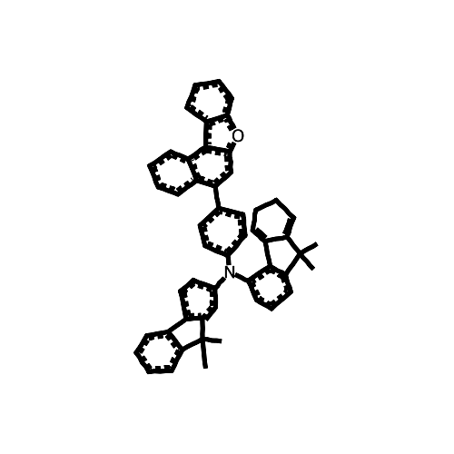 CC1(C)C2=CCCC=C2c2c(N(c3ccc(-c4cc5oc6ccccc6c5c5ccccc45)cc3)c3ccc4c(c3)C(C)(C)c3ccccc3-4)cccc21